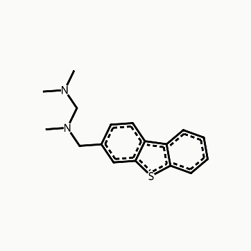 CN(C)CN(C)Cc1ccc2c(c1)sc1ccccc12